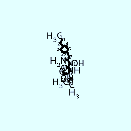 CCCc1ccc(CC(N)C(O)C(=O)N[C@@H](CC(C)C)C(=O)O)cc1